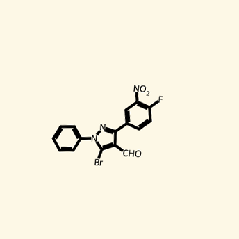 O=Cc1c(-c2ccc(F)c([N+](=O)[O-])c2)nn(-c2ccccc2)c1Br